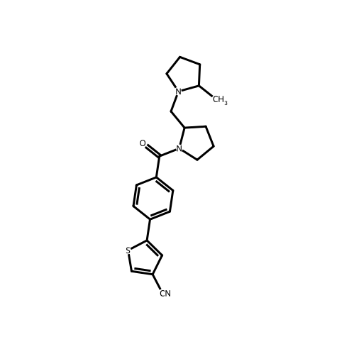 CC1CCCN1CC1CCCN1C(=O)c1ccc(-c2cc(C#N)cs2)cc1